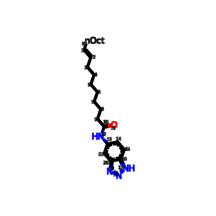 CCCCCCCCC=CCCCCCCCC(=O)Nc1ccc2[nH]nnc2c1